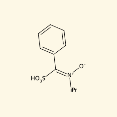 CC(C)[N+]([O-])=C(c1ccccc1)S(=O)(=O)O